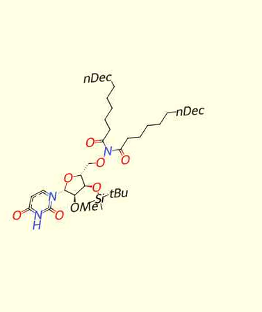 CCCCCCCCCCCCCCCC(=O)N(OC[C@H]1O[C@@H](n2ccc(=O)[nH]c2=O)[C@H](OC)[C@@H]1O[Si](C)(C)C(C)(C)C)C(=O)CCCCCCCCCCCCCCC